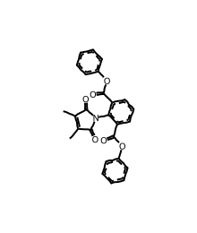 CC1=C(C)C(=O)N(c2c(C(=O)Oc3ccccc3)cccc2C(=O)Oc2ccccc2)C1=O